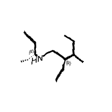 CCC(C)[C@@H](CC)CN[C@H](C)CC